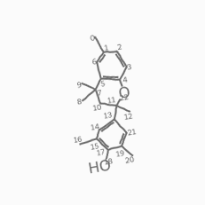 Cc1ccc2c(c1)C(C)(C)CC(C)(c1cc(C)c(O)c(C)c1)O2